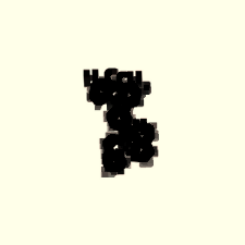 CC1(C)c2ccccc2-n2c3ccc(N(c4ccc5ccccc5n4)c4nccc5c4CCC=C5)cc3c3cccc1c32